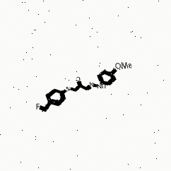 COc1ccc(NN=CC(=O)CSc2ccc(CF)cc2)cc1